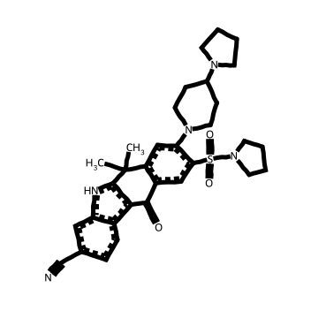 CC1(C)c2cc(N3CCC(N4CCCC4)CC3)c(S(=O)(=O)N3CCCC3)cc2C(=O)c2c1[nH]c1cc(C#N)ccc21